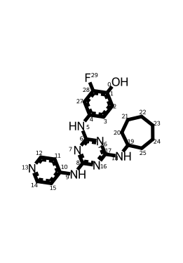 Oc1ccc(Nc2nc(Nc3ccncc3)nc(NC3CCCCCC3)n2)cc1F